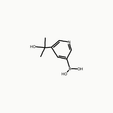 CC(C)(O)c1cncc(B(O)O)c1